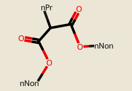 CCCCCCCCCOC(=O)C(CCC)C(=O)OCCCCCCCCC